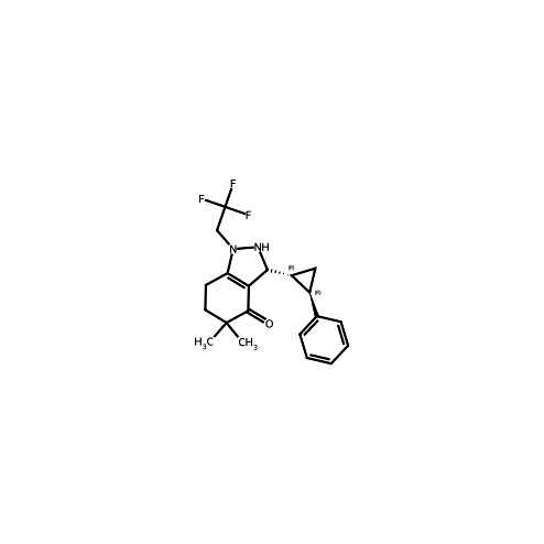 CC1(C)CCC2=C(C1=O)C([C@@H]1C[C@H]1c1ccccc1)NN2CC(F)(F)F